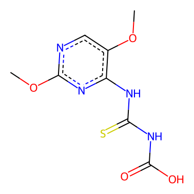 COc1ncc(OC)c(NC(=S)NC(=O)O)n1